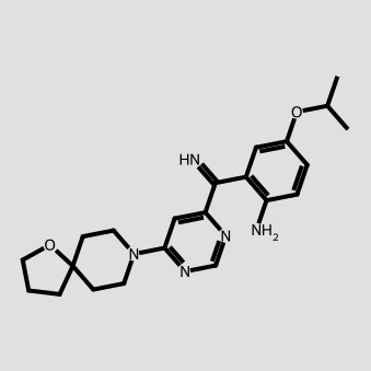 CC(C)Oc1ccc(N)c(C(=N)c2cc(N3CCC4(CCCO4)CC3)ncn2)c1